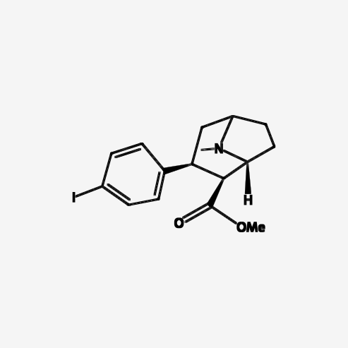 COC(=O)[C@H]1[C@@H](c2ccc(I)cc2)CC2CC[C@H]1N2C